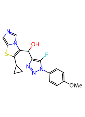 COc1ccc(-n2nnc(C(O)c3c(C4CC4)sc4cncn34)c2F)cc1